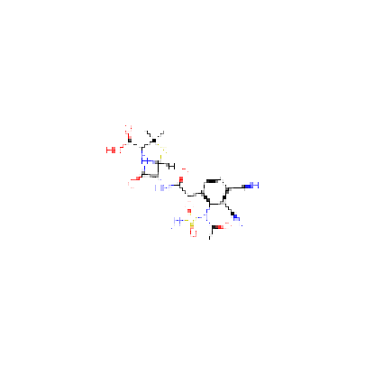 CC(=O)N(c1c(CC(=O)N[C@@H]2C(=O)N3[C@@H]2SC(C)(C)[C@@H]3C(=O)O)ccc(C#N)c1C#N)S(N)(=O)=O